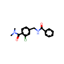 CN(C)C(=O)c1ccc(CNC(=O)c2ccccc2)cc1Cl